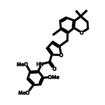 COc1cc(OC)c(NC(=O)c2ccc(Cc3c(C)ccc4c3OCCC4(C)C)o2)c(OC)c1